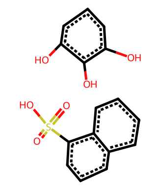 O=S(=O)(O)c1cccc2ccccc12.Oc1cccc(O)c1O